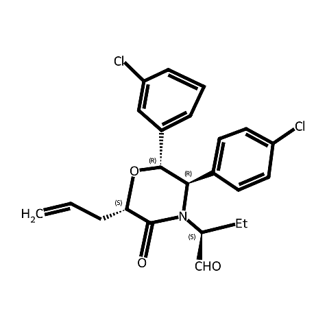 C=CC[C@@H]1O[C@H](c2cccc(Cl)c2)[C@@H](c2ccc(Cl)cc2)N([C@H](C=O)CC)C1=O